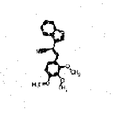 COc1ccc(C=C(C#N)c2csc3ccccc23)c(OC)c1OC